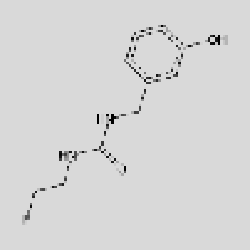 O=C(NCCF)NCc1cccc(O)c1